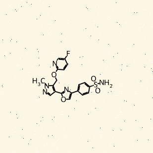 Cn1ncc(-c2nc(-c3ccc(S(N)(=O)=O)cc3)co2)c1COc1ccc(F)cn1